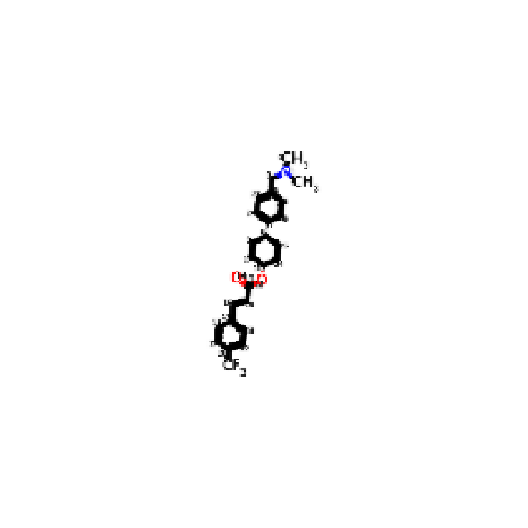 CN(C)Cc1ccc([C@H]2CC[C@@H](OC(=O)/C=C/c3ccc(C(F)(F)F)cc3)CC2)cc1